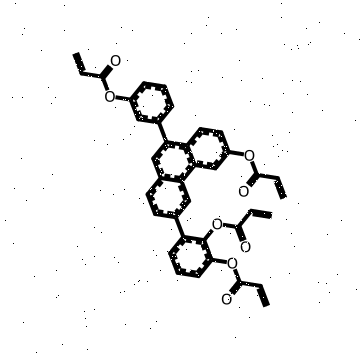 C=CC(=O)Oc1cccc(-c2cc3ccc(-c4cccc(OC(=O)C=C)c4OC(=O)C=C)cc3c3cc(OC(=O)C=C)ccc23)c1